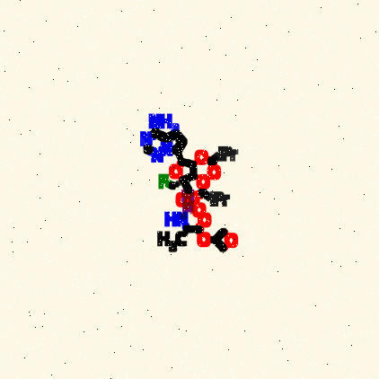 CC(C)C(=O)O[C@H]1[C@H](c2ccc3c(N)ncnn23)O[C@](CF)(CO[PH](=O)N[C@@H](C)C(=O)OC2COC2)[C@H]1OC(=O)C(C)C